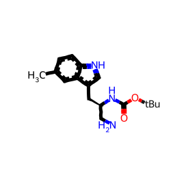 Cc1ccc2[nH]cc(C[C@H](CN)NC(=O)OC(C)(C)C)c2c1